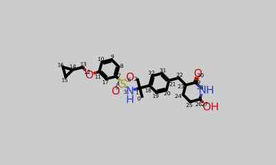 CC(C)(NS(=O)(=O)c1cccc(OCC2CC2)c1)c1ccc(CC2CCC(O)NC2=O)cc1